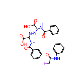 O=C(CI)Nc1ccccc1.O=C(NC(N=NC(NC(=O)c1ccccc1)C(=O)O)C(=O)O)c1ccccc1